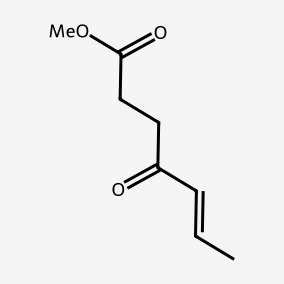 CC=CC(=O)CCC(=O)OC